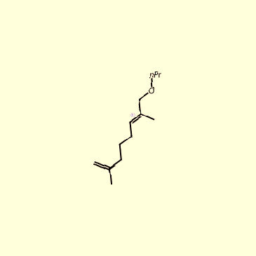 C=C(C)CCC/C=C(\C)COCCC